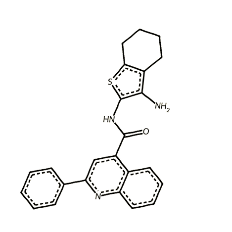 Nc1c(NC(=O)c2cc(-c3ccccc3)nc3ccccc23)sc2c1CCCC2